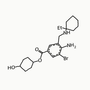 CCC1(NCc2cc(C(=O)OC3CCC(O)CC3)cc(Br)c2N)CCCCC1